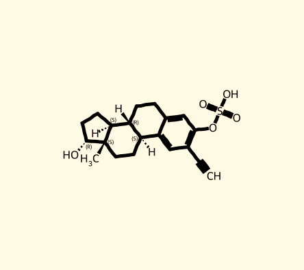 C#Cc1cc2c(cc1OS(=O)(=O)O)CC[C@@H]1[C@@H]2CC[C@]2(C)[C@H](O)CC[C@@H]12